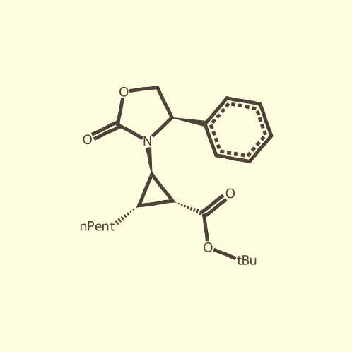 CCCCC[C@H]1[C@@H](C(=O)OC(C)(C)C)[C@@H]1N1C(=O)OC[C@H]1c1ccccc1